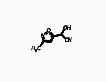 Cc1cc(C(O)C#N)on1